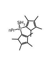 [CH2]C[CH2][Zr]([SiH3])([C]1=C(C)C(C)=C(C)C1C)[C]1=C(C)C(C)=C(C)C1C